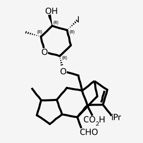 CC(C)C1=CC2CC3(C=O)C4CCC(C)C4CC2(CO[C@H]2C[C@@H](I)[C@H](O)[C@@H](C)O2)C13C(=O)O